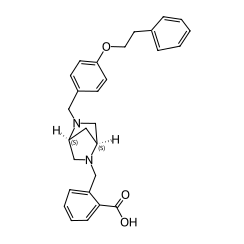 O=C(O)c1ccccc1CN1C[C@@H]2C[C@H]1CN2Cc1ccc(OCCc2ccccc2)cc1